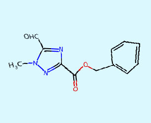 Cn1nc(C(=O)OCc2ccccc2)nc1C=O